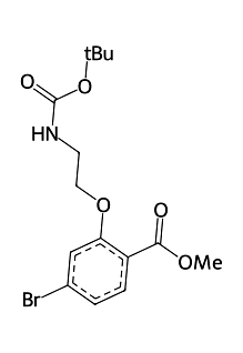 COC(=O)c1ccc(Br)cc1OCCNC(=O)OC(C)(C)C